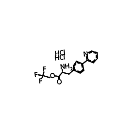 Cl.Cl.N[C@@H](Cc1ccc(-c2ccccn2)cc1)C(=O)OCC(F)(F)F